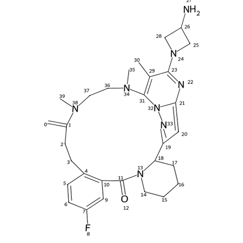 C=C1CCc2ccc(F)cc2C(=O)N2CCCCC2c2cc3nc(N4CC(N)C4)c(C)c(n3n2)N(C)CCN1C